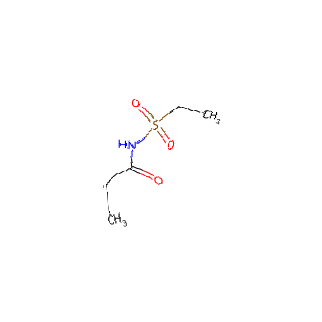 C[CH]C(=O)NS(=O)(=O)CC